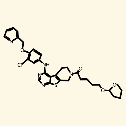 O=C(C=CCCOC1CCCCO1)N1CCc2c(sc3ncnc(Nc4ccc(OCc5ccccn5)c(Cl)c4)c23)C1